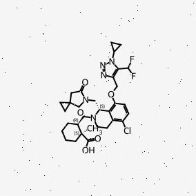 C[C@]1(C(=O)O)CCCC[C@H]1C(=O)N1CCc2c(Cl)ccc(OCc3nnn(C4CC4)c3C(F)F)c2[C@H]1CN1CC2(CC2)CC1=O